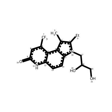 CCc1c(C)c2c3c(C(F)(F)F)cc(=O)[nH]c3ccc2n1CC(O)CO